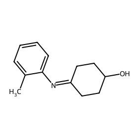 Cc1ccccc1N=C1CCC(O)CC1